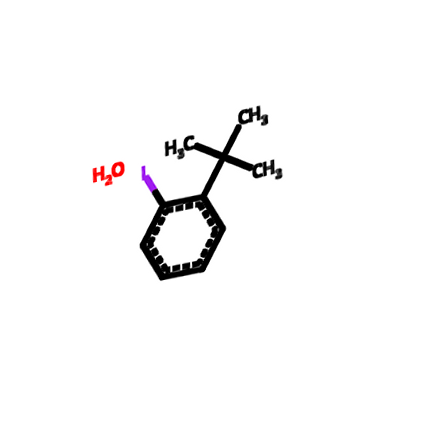 CC(C)(C)c1ccccc1I.O